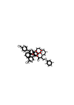 O=C(C(COc1ccccc1)N1CCCC[C@@H]1c1nc(-c2ccc(Cl)nc2)cs1)C(COc1ccccc1)N1CCCC[C@@H]1c1nc(-c2ccc(Cl)nc2)cs1